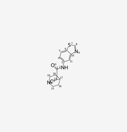 O=C(Nc1ccc2scnc2c1)C1CN2CCC1CC2